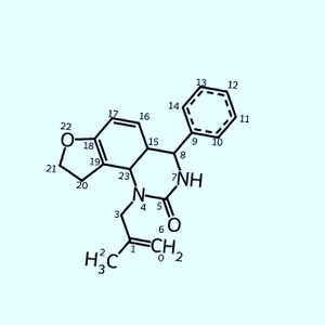 C=C(C)CN1C(=O)NC(c2ccccc2)C2C=CC3=C(CCO3)C21